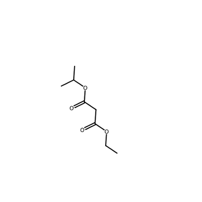 CCOC(=O)CC(=O)OC(C)C